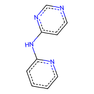 c1ccc(Nc2ccncn2)nc1